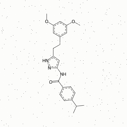 COc1cc(CCc2cc(NC(=O)c3ccc(C(C)C)cc3)n[nH]2)cc(OC)c1